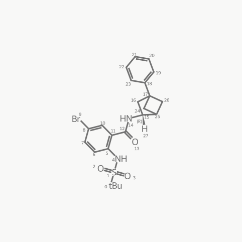 CC(C)(C)S(=O)(=O)Nc1ccc(Br)cc1C(=O)N[C@@H]1CC2(c3ccccc3)CC1C2